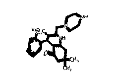 CCOC(=O)C1=C(CN2CCNCC2)NC2=C(C(=O)CC(C)(C)C2)C1c1ccccc1Cl